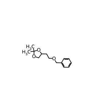 CC1(C)OCC(CCOCc2ccccc2)O1